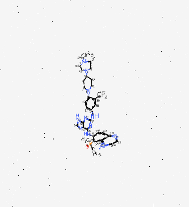 CN1CCN(C2CCN(c3ccc(Nc4nc(Nc5ccc6nccnc6c5P(C)(C)=O)c5nc[nH]c5n4)cc3C(F)(F)F)CC2)CC1